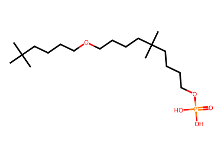 CC(C)(C)CCCCOCCCCC(C)(C)CCCCOP(=O)(O)O